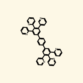 c1ccc(-c2cc(-c3ccc(-c4cc(-c5ccccn5)c(-c5ccccn5)c(-c5ccccn5)c4)cc3)cc(-c3cccnc3)c2-c2ccccn2)nc1